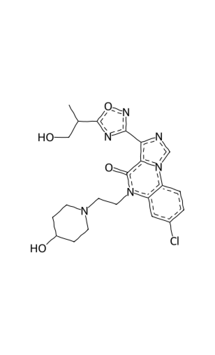 CC(CO)c1nc(-c2ncn3c2c(=O)n(CCN2CCC(O)CC2)c2cc(Cl)ccc23)no1